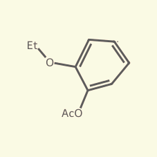 CCOc1c[c]ccc1OC(C)=O